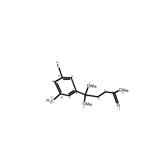 COC(=O)CCC(OC)(OC)c1cc(C)cc(F)c1